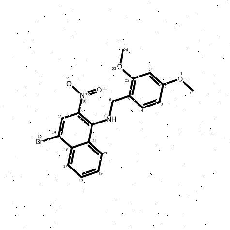 COc1ccc(CNc2c([N+](=O)[O-])cc(Br)c3ccccc23)c(OC)c1